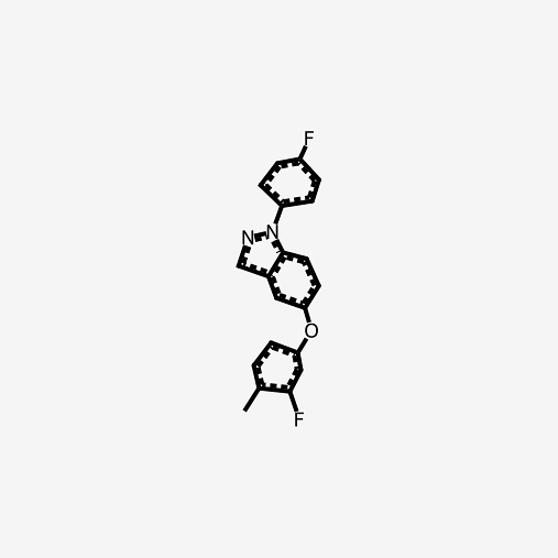 Cc1ccc(Oc2ccc3c(cnn3-c3ccc(F)cc3)c2)cc1F